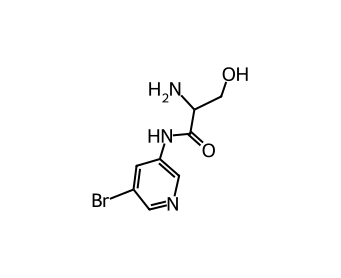 NC(CO)C(=O)Nc1cncc(Br)c1